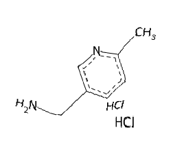 Cc1ccc(CN)cn1.Cl.Cl